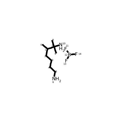 CC(CCCCN)C(C)(C)N.FB(F)F